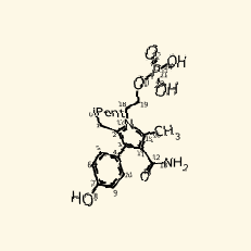 CCCC(C)Cc1c(-c2ccc(O)cc2)c(C(N)=O)c(C)n1CCOP(=O)(O)O